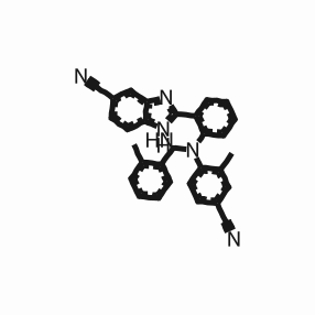 Cc1ccccc1C(=N)N(c1ccc(C#N)cc1C)c1ccccc1-c1nc2cc(C#N)ccc2[nH]1